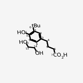 CC(C)(C)c1cc(CCCC(=O)O)ccc1O.OCCO